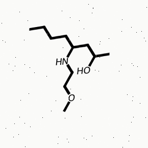 CCCCC(CC(C)O)NCCOC